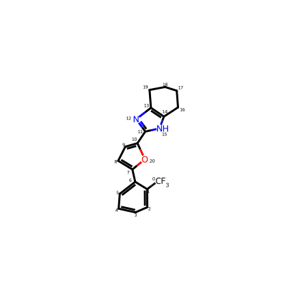 FC(F)(F)c1ccccc1-c1ccc(-c2nc3c([nH]2)CCCC3)o1